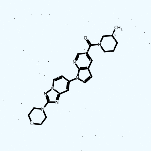 C[C@H]1CCCN(C(=O)c2cnc3c(ccn3-c3ccn4nc(N5CCOCC5)nc4c3)c2)C1